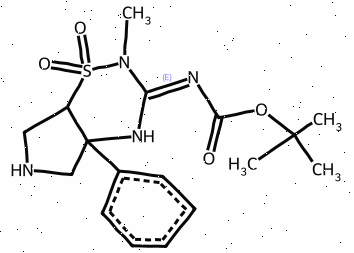 CN1/C(=N/C(=O)OC(C)(C)C)NC2(c3ccccc3)CNCC2S1(=O)=O